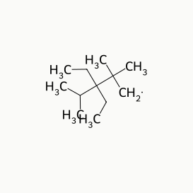 [CH2]C(C)(C)C(CC)(CC)C(C)C